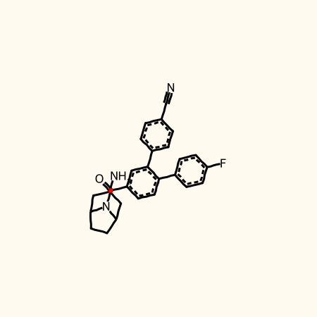 N#Cc1ccc(-c2cc(C(=O)N3C4CCC3CC(N)C4)ccc2-c2ccc(F)cc2)cc1